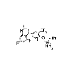 Cc1cc(-c2cnc(OC[C@@](C)(N)CC(C)C)c(C(F)(F)F)c2)c2c(F)cc(F)cc2n1